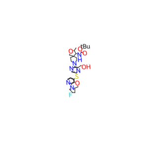 CC1OCC2(CCN(c3ncc(Sc4ccnc5c4OCC4CC(F)CN54)nc3CO)CC2)C1NC(=O)OC(C)(C)C